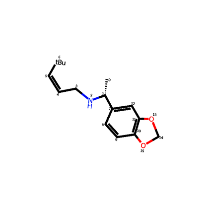 C[C@@H](NC/C=C\C(C)(C)C)c1ccc2c(c1)OCO2